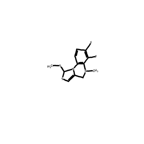 CSC1SC=C2CN(C)c3c(ccc(F)c3F)N21